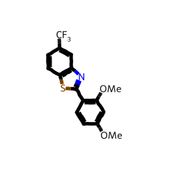 COc1ccc(-c2nc3cc(C(F)(F)F)ccc3s2)c(OC)c1